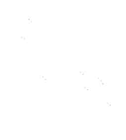 C=CC(=O)N1CC[C@H](Nc2nccc(Oc3cc(C(=O)Nc4ccc(CN5CCN(CC)CC5)c(C(F)(F)F)c4)ccc3C)n2)C1